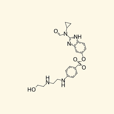 O=CN(c1nc2cc(OS(=O)(=O)c3ccc(NCCNCCO)cc3)ccc2[nH]1)C1CC1